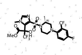 COC(=O)C(O)(c1c(S(=O)(=O)N2CCN(c3ccc(F)cc3C(F)(F)F)C[C@H]2C)ncn1C)C(F)(F)F